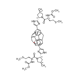 COC(=O)N[C@@H](CCSC)C(=O)N1C[C@H](C)C[C@H]1c1nc(-c2ccc(-c3cc4ccc3CCc3ccc(c(-c5ccc(-c6c[nH]c([C@@H]7C[C@@H](C)CN7C(=O)[C@H](CCSC)NC(=O)OC)n6)cc5)c3)CC4)cc2)c[nH]1